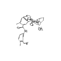 Cc1cc(Cl)c(S(=O)(=O)[C@H]2CC3CCC(C2)[C@]3(O)[C@H](O)[C@H](C)O)cc1C(=O)Nc1ccc(F)c(F)c1